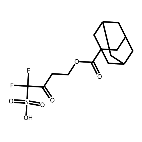 O=C(OCCC(=O)C(F)(F)S(=O)(=O)O)C12CC3CC(CC(C3)C1)C2